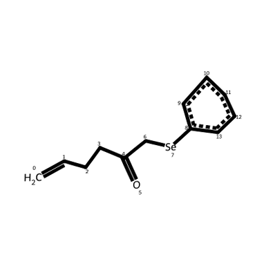 C=CCCC(=O)C[Se]c1ccccc1